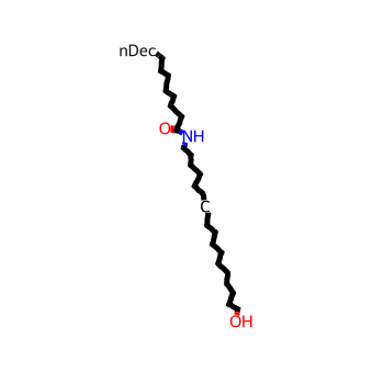 CCCCCCCCCCCCCCCCCC(=O)NCCCCCCCCCCCCCCCCCCO